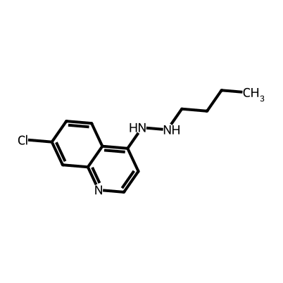 CCCCNNc1ccnc2cc(Cl)ccc12